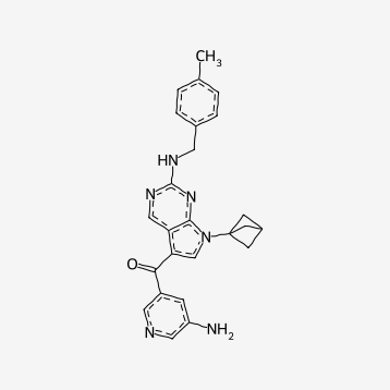 Cc1ccc(CNc2ncc3c(C(=O)c4cncc(N)c4)cn(C45CC(C4)C5)c3n2)cc1